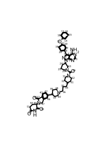 Nc1ncnc2c1c(-c1ccc(Oc3ccccc3)cc1)nn2C1CCCN(C(=O)N2CCC(CCCN3CCC(c4ccc5c(c4)CN(C4CCC(=O)NC4=O)C5=O)CC3)CC2)C1